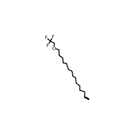 C=CCCCCCCCCCCCCCOCC(F)(F)F